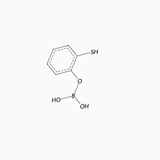 OB(O)Oc1ccccc1S